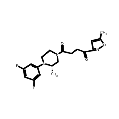 Cc1cc(C(=O)CCC(=O)N2CCN(c3cc(F)cc(F)c3)[C@@H](C)C2)no1